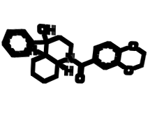 O=C(c1ccc2c(c1)OCCO2)N1CCC(O)(c2ccccc2)[C@H]2CCCC[C@H]21